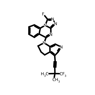 CC(C)(C#Cc1cncc2c1CCCN2c1nc2nnc(F)n2c2ccccc12)C(F)(F)F